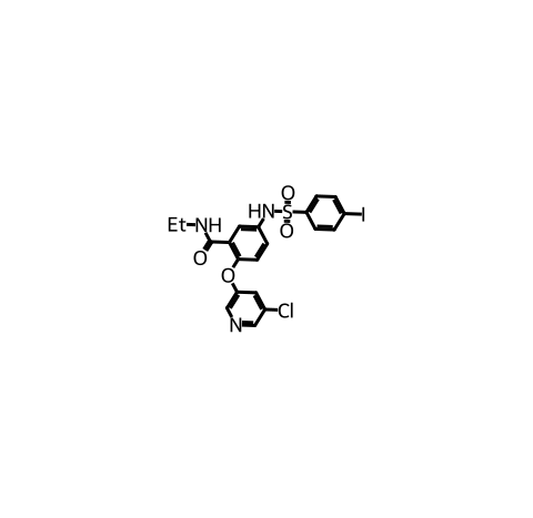 CCNC(=O)c1cc(NS(=O)(=O)c2ccc(I)cc2)ccc1Oc1cncc(Cl)c1